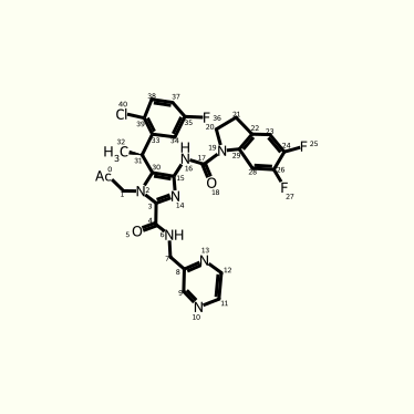 CC(=O)Cn1c(C(=O)NCc2cnccn2)nc(NC(=O)N2CCc3cc(F)c(F)cc32)c1[C@@H](C)c1cc(F)ccc1Cl